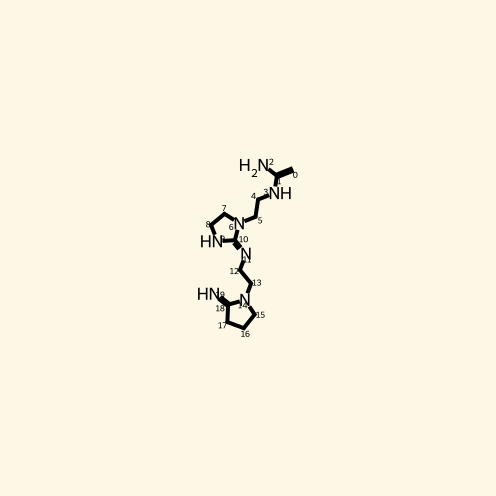 C=C(N)NCCN1CCN/C1=N\CCN1CCCC1=N